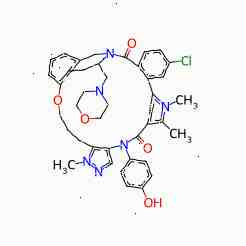 Cc1c2cc(n1C)-c1cc(Cl)ccc1C(=O)N1Cc3cccc(c3CC1CN1CCOCC1)OCCCc1c(cnn1C)N(c1ccc(O)cc1)C2=O